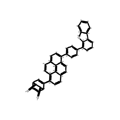 O=C1C(=O)C2C=CC1C=C2c1ccc2ccc3c(-c4ccc(-c5cccc6c5oc5ccccc56)cc4)ccc4ccc1c2c43